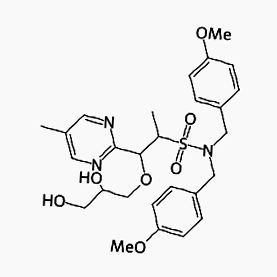 COc1ccc(CN(Cc2ccc(OC)cc2)S(=O)(=O)C(C)C(OCC(O)CO)c2ncc(C)cn2)cc1